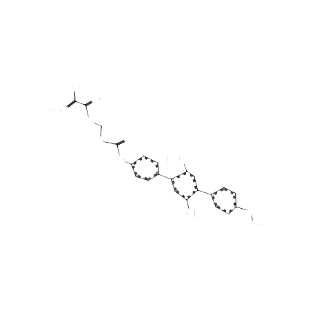 C=C(C)C(=O)OCOC(=O)Oc1ccc(-c2cc(C)c(-c3ccc(OC)cc3)cc2C)cc1